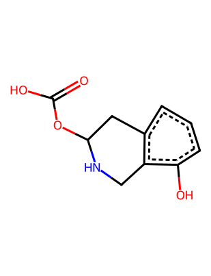 O=C(O)OC1Cc2cccc(O)c2CN1